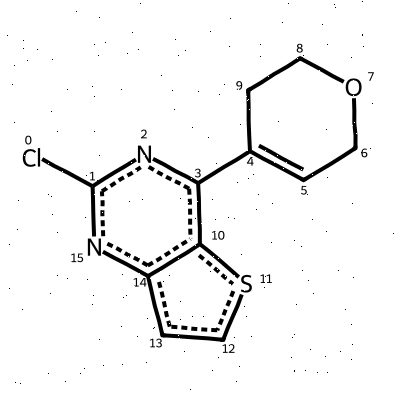 Clc1nc(C2=CCOCC2)c2sccc2n1